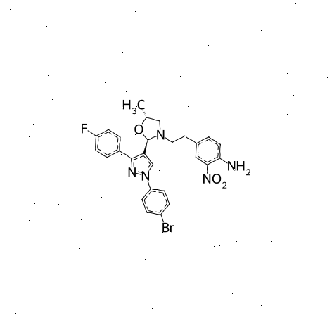 C[C@@H]1CN(CCc2ccc(N)c([N+](=O)[O-])c2)[C@@H](c2cn(-c3ccc(Br)cc3)nc2-c2ccc(F)cc2)O1